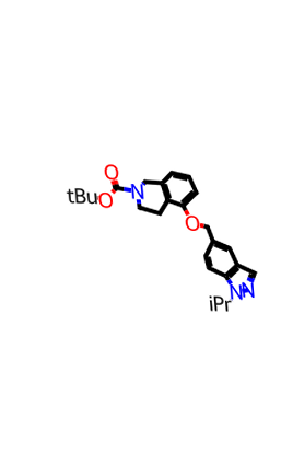 CC(C)n1ncc2cc(COc3cccc4c3CCN(C(=O)OC(C)(C)C)C4)ccc21